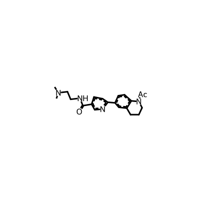 CC(=O)N1CCCc2cc(-c3ccc(C(=O)NCCN(C)C)cn3)ccc21